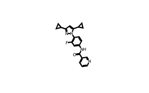 O=C(Nc1ccc(-n2nc(C3CC3)cc2C2CC2)c(F)c1)c1cccnc1